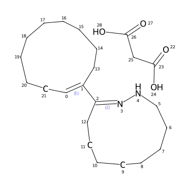 C1=C(/C2=N\NCCCCCCCC2)CCCCCCCCC/1.O=C(O)CC(=O)O